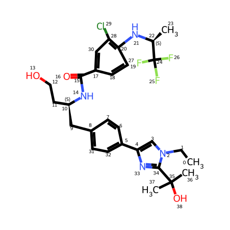 CCn1cc(-c2ccc(C[C@@H](CCO)NC(=O)c3ccc(N[C@@H](C)C(F)(F)F)c(Cl)c3)cc2)nc1C(C)(C)O